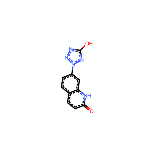 O=c1ccc2ccc(-n3nnc(O)n3)cc2[nH]1